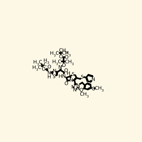 COc1ccc(Cn2nnnc2C2=C(CSc3ccncc3)CS[C@@H]3[C@H](NC(=O)/C(=N\OC(C)(C)C(=O)OC(C)(C)C)c4csc(NC(=O)OC(C)(C)C)n4)C(=O)N23)c(OC)c1